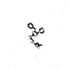 Cc1cc(NC[C@H](C)NC(=O)O[C@@H](CC2CCCCC2)C(=O)N2CCOCC2)no1